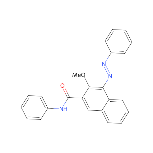 COc1c(C(=O)Nc2ccccc2)cc2ccccc2c1/N=N/c1ccccc1